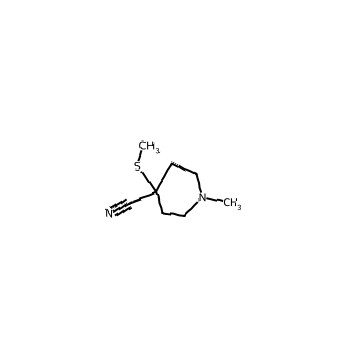 CSC1(C#N)CCN(C)CC1